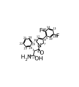 NC(O)CC(=O)N1CC(c2cc(F)ccc2F)=C[C@H]1c1ccccc1